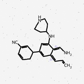 C=C/C=c1/cc(C2C=C(C#N)C=CC2)cc(NC2CCNCC2)/c1=C/N